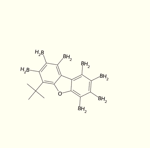 Bc1c(B)c(B)c2c(oc3c(C(C)(C)C)c(B)c(B)c(B)c32)c1B